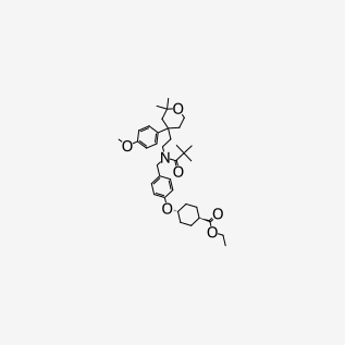 CCOC(=O)[C@H]1CC[C@H](Oc2ccc(CN(CCC3(c4ccc(OC)cc4)CCOC(C)(C)C3)C(=O)C(C)(C)C)cc2)CC1